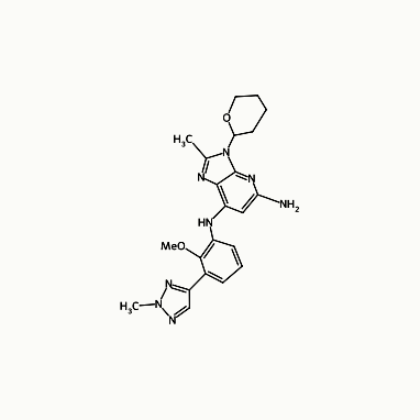 COc1c(Nc2cc(N)nc3c2nc(C)n3C2CCCCO2)cccc1-c1cnn(C)n1